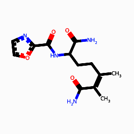 CC(CCC(NC(=O)c1ncco1)C(N)=O)=C(C)C(N)=O